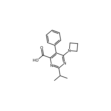 CC(C)c1nc(C(=O)O)c(-c2ccccc2)c(N2CCC2)n1